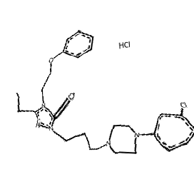 CCc1nn(CCCN2CCN(c3cccc(Cl)c3)CC2)c(=O)n1CCOc1ccccc1.Cl